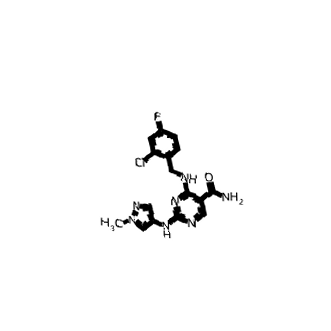 Cn1cc(Nc2ncc(C(N)=O)c(NCc3ccc(F)cc3Cl)n2)cn1